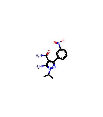 CC(C)n1nc(-c2cccc([N+](=O)[O-])c2)c(C(N)=O)c1N